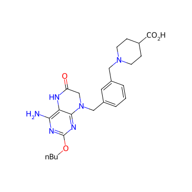 CCCCOc1nc(N)c2c(n1)N(Cc1cccc(CN3CCC(C(=O)O)CC3)c1)CC(=O)N2